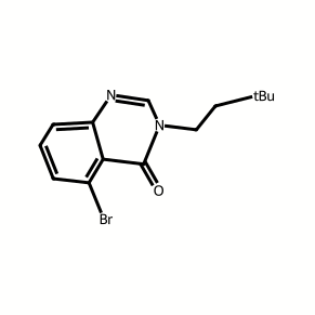 CC(C)(C)CCn1cnc2cccc(Br)c2c1=O